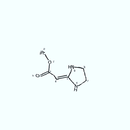 CC(C)OC(=O)C=C1NCCN1